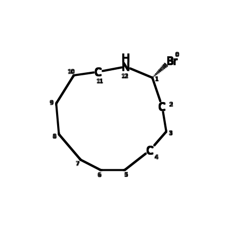 Br[C@@H]1CCCCCCCCCCN1